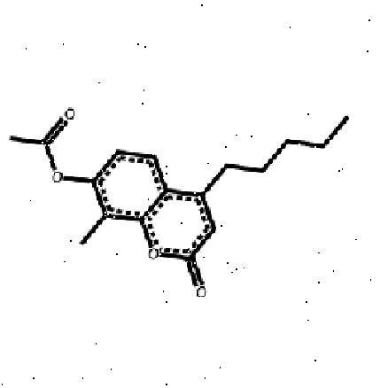 CCCCCc1cc(=O)oc2c(C)c(OC(C)=O)ccc12